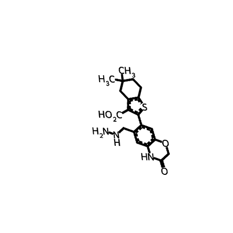 CC1(C)CCc2sc(-c3cc4c(cc3CNN)NC(=O)CO4)c(C(=O)O)c2C1